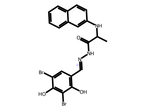 CC(Nc1ccc2ccccc2c1)C(=O)N/N=C/c1cc(Br)c(O)c(Br)c1O